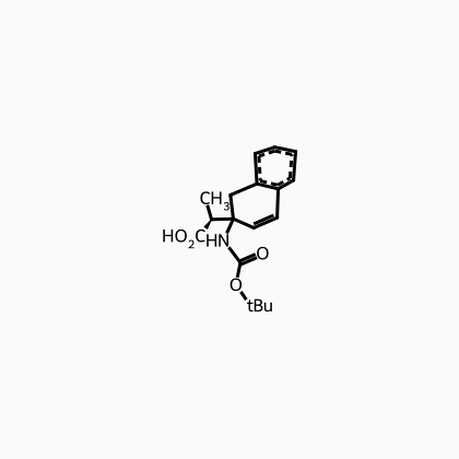 C[C@H](C(=O)O)C1(NC(=O)OC(C)(C)C)C=Cc2ccccc2C1